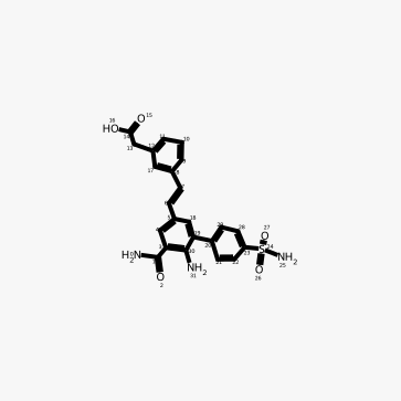 NC(=O)c1cc(C=Cc2cccc(CC(=O)O)c2)cc(-c2ccc(S(N)(=O)=O)cc2)c1N